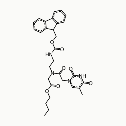 CCCCOC(=O)CN(CCNC(=O)OCC1c2ccccc2-c2ccccc21)C(=O)Cn1cc(C)c(=O)[nH]c1=O